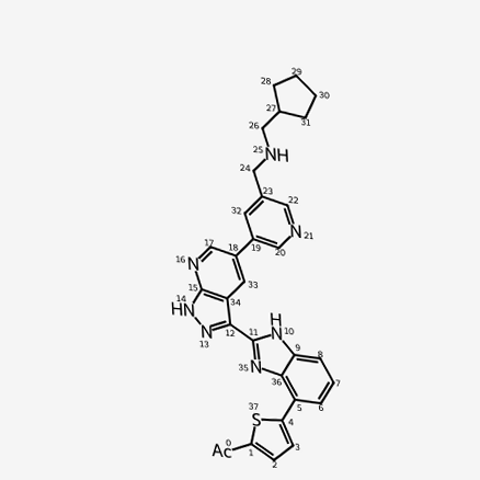 CC(=O)c1ccc(-c2cccc3[nH]c(-c4n[nH]c5ncc(-c6cncc(CNCC7CCCC7)c6)cc45)nc23)s1